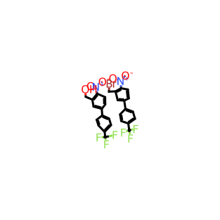 O=[N+]([O-])c1ccc(-c2ccc(C(F)(F)F)cc2)cc1CBr.O=[N+]([O-])c1ccc(-c2ccc(C(F)(F)F)cc2)cc1CO